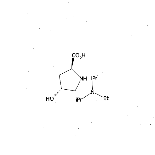 CCN(C(C)C)C(C)C.O=C(O)[C@@H]1C[C@@H](O)CN1